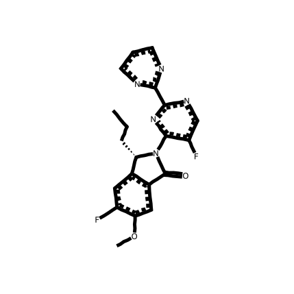 CCC[C@H]1c2cc(F)c(OC)cc2C(=O)N1c1nc(-c2ncccn2)ncc1F